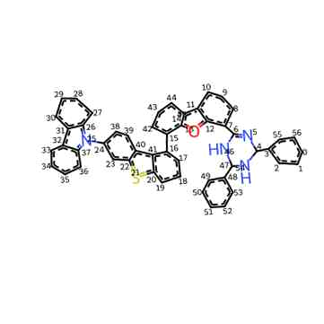 c1ccc(C2N=C(c3cccc4c3oc3c(-c5cccc6sc7cc(-n8c9ccccc9c9ccccc98)ccc7c56)cccc34)NC(c3ccccc3)N2)cc1